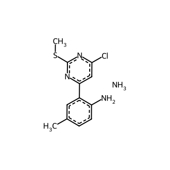 CSc1nc(Cl)cc(-c2cc(C)ccc2N)n1.N